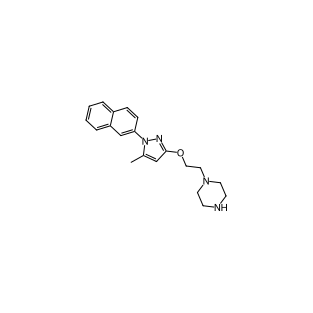 Cc1cc(OCCN2CCNCC2)nn1-c1ccc2ccccc2c1